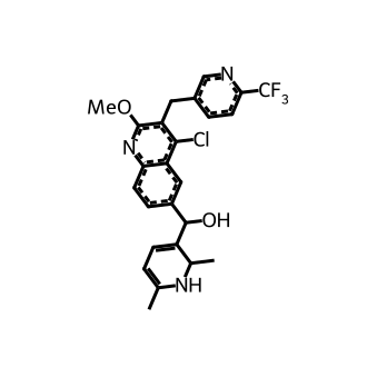 COc1nc2ccc(C(O)C3=CC=C(C)NC3C)cc2c(Cl)c1Cc1ccc(C(F)(F)F)nc1